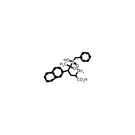 CC(CC(c1ccc2ccccc2c1)C(C)(C)P(=O)(O)Cc1ccccc1)C(=O)O